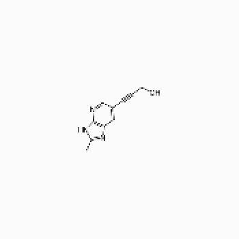 Cc1nc2cc(C#CCO)cnc2[nH]1